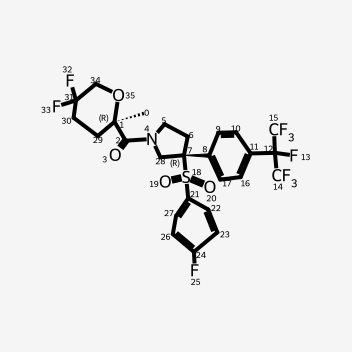 C[C@]1(C(=O)N2CC[C@](c3ccc(C(F)(C(F)(F)F)C(F)(F)F)cc3)(S(=O)(=O)c3ccc(F)cc3)C2)CCC(F)(F)CO1